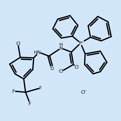 O=C(NC(=C(Cl)Cl)[P+](c1ccccc1)(c1ccccc1)c1ccccc1)Nc1cc(C(F)(F)F)ccc1Cl.[Cl-]